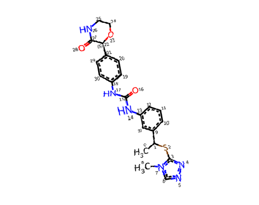 CC(Sc1nncn1C)c1cccc(NC(=O)Nc2ccc([C@@H]3OCCNC3=O)cc2)c1